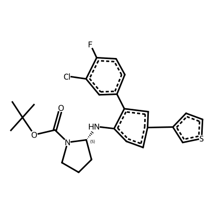 CC(C)(C)OC(=O)N1CCC[C@H]1Nc1ccc(-c2ccsc2)cc1-c1ccc(F)c(Cl)c1